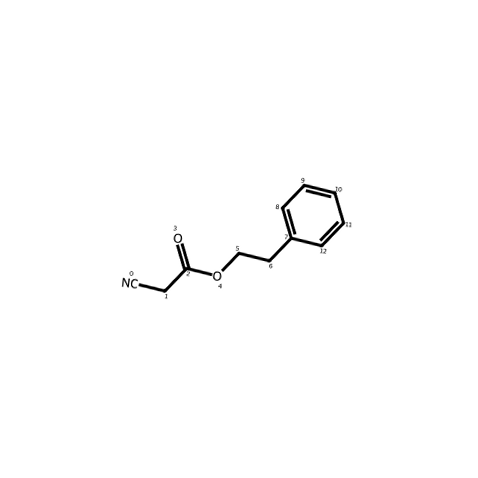 N#CCC(=O)OCCc1ccccc1